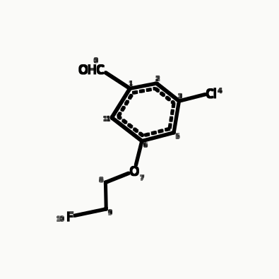 O=Cc1cc(Cl)cc(OCCF)c1